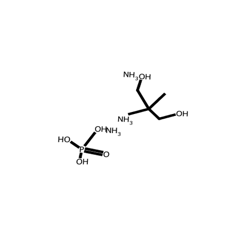 CC(C)(CO)CO.N.N.N.O=P(O)(O)O